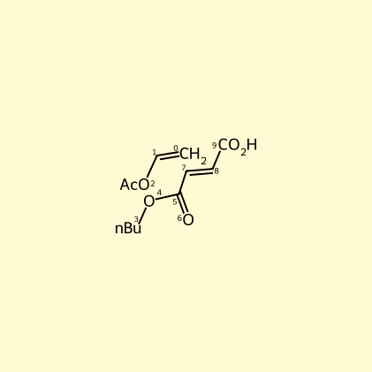 C=COC(C)=O.CCCCOC(=O)C=CC(=O)O